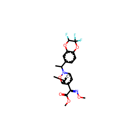 CON=C(C(=O)OC)c1cc2cc(C)c1ON2C(C)c1ccc2c(c1)OC(F)C(F)(F)O2